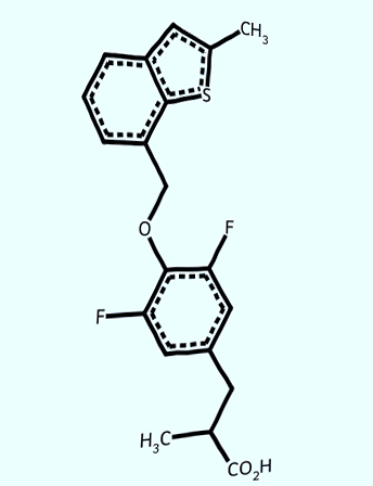 Cc1cc2cccc(COc3c(F)cc(CC(C)C(=O)O)cc3F)c2s1